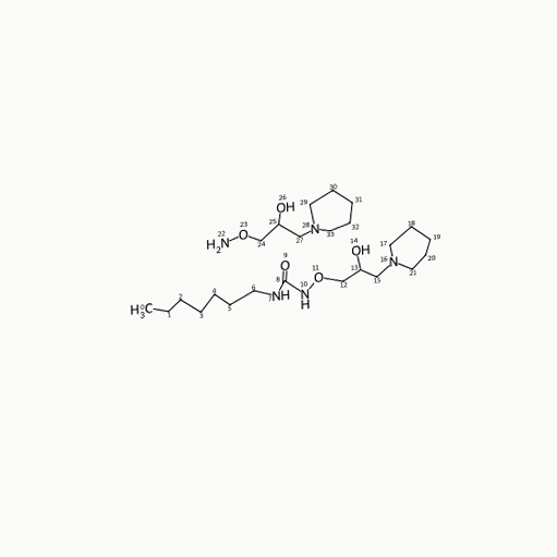 CCCCCCCNC(=O)NOCC(O)CN1CCCCC1.NOCC(O)CN1CCCCC1